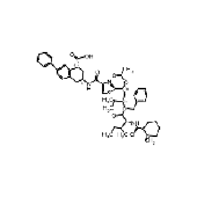 CCC(C)C(NC(=O)C1CCCCN1C)C(=O)N(Cc1ccccc1)[C@H](C[C@@H](OC(C)=O)c1nc(C(=O)N[C@H]2Cc3ccc(-c4ccccc4)cc3[C@H](C(=O)O)C2)cs1)C(C)C